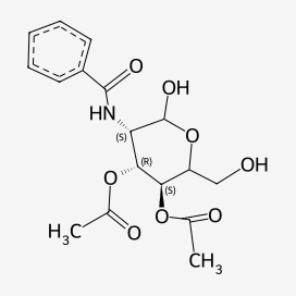 CC(=O)O[C@@H]1[C@H](NC(=O)c2ccccc2)C(O)OC(CO)[C@H]1OC(C)=O